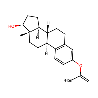 C=[C]([SnH])Oc1ccc2c(c1)CC[C@@H]1[C@@H]2CC[C@]2(C)[C@@H](O)CC[C@@H]12